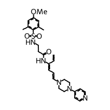 C=C/C(=C\C=C\N1CCN(c2ccncc2)CC1)NC(=O)CCNS(=O)(=O)c1c(C)cc(OC)cc1C